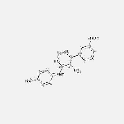 COc1cccc(-c2ncnc(Nc3ccc(C(C)(C)C)cc3)c2C)c1